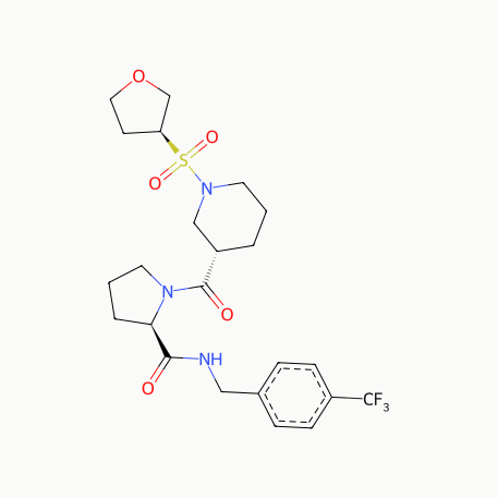 O=C(NCc1ccc(C(F)(F)F)cc1)[C@H]1CCCN1C(=O)[C@H]1CCCN(S(=O)(=O)[C@H]2CCOC2)C1